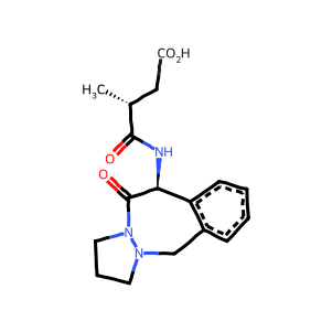 C[C@H](CC(=O)O)C(=O)N[C@@H]1C(=O)N2CCCN2Cc2ccccc21